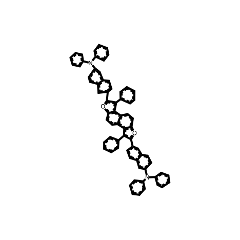 c1ccc(-c2c(-c3ccc4cc(N(c5ccccc5)c5ccccc5)ccc4c3)oc3ccc4c(ccc5oc(-c6ccc7cc(N(c8ccccc8)c8ccccc8)ccc7c6)c(-c6ccccc6)c54)c23)cc1